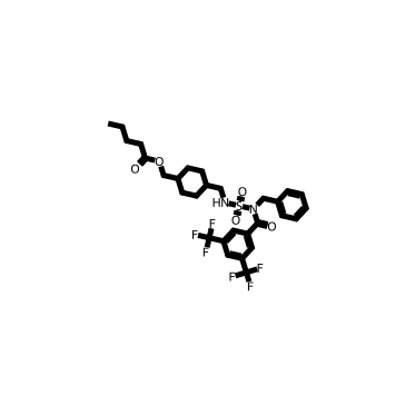 CCCCC(=O)OCC1CCC(CNS(=O)(=O)N(Cc2ccccc2)C(=O)c2cc(C(F)(F)F)cc(C(F)(F)F)c2)CC1